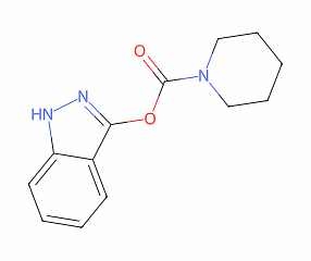 O=C(Oc1n[nH]c2ccccc12)N1CCCCC1